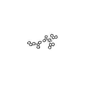 c1ccc2c(c1)ccc1cc(-n3c4ccccc4c4cc(-c5ccc6c(c5)c5ccccc5n6-c5nc(-c6cc7ccccc7c7ccccc67)nc(-c6cc7ccccc7c7ccccc67)n5)ccc43)ccc12